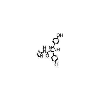 O=C(Nc1nccs1)c1nc(-c2ccc(O)cc2)[nH]c1-c1ccc(Cl)cc1